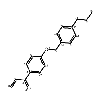 C=CC(=O)c1ccc(OCc2ccc(CCC)cc2)cc1